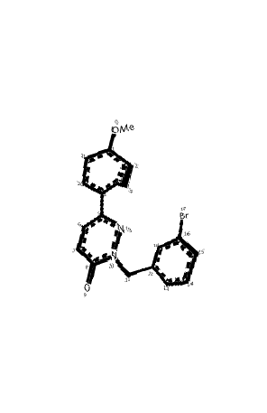 COc1ccc(-c2ccc(=O)n(Cc3cccc(Br)c3)n2)cc1